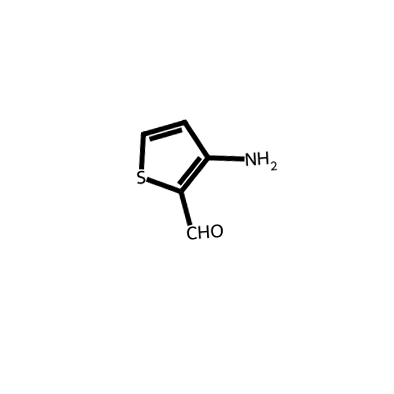 Nc1ccsc1C=O